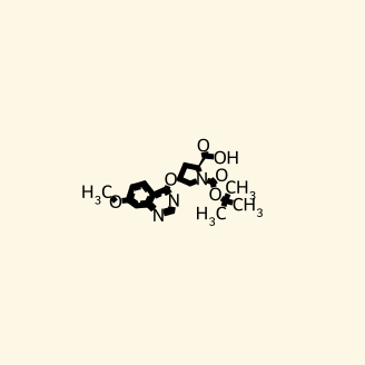 COc1ccc2c(O[C@@H]3C[C@@H](C(=O)O)N(C(=O)OC(C)(C)C)C3)ncnc2c1